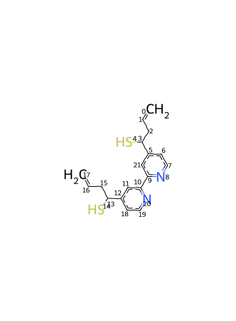 C=CCC(S)c1ccnc(-c2cc(C(S)CC=C)ccn2)c1